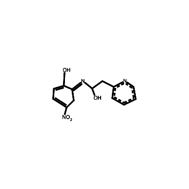 O=[N+]([O-])C1=CC=C(O)C(=NC(O)Cc2ccccn2)C1